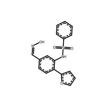 O=S(=O)(Nc1cc(/C=N\O)ccc1-c1ccco1)c1ccccc1